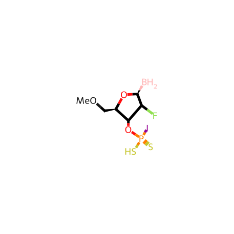 B[C@@H]1O[C@H](COC)C(OP(=S)(S)I)C1F